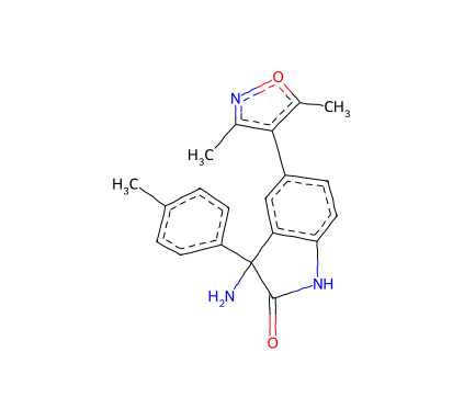 Cc1ccc(C2(N)C(=O)Nc3ccc(-c4c(C)noc4C)cc32)cc1